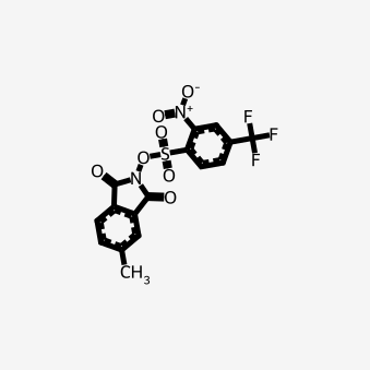 Cc1ccc2c(c1)C(=O)N(OS(=O)(=O)c1ccc(C(F)(F)F)cc1[N+](=O)[O-])C2=O